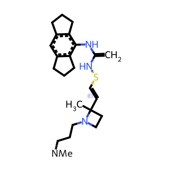 C=C(NS/C=C/C1(C)CCN1CCCNC)Nc1c2c(cc3c1CCC3)CCC2